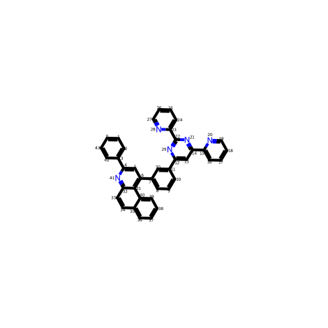 c1ccc(-c2cc(-c3cccc(-c4cc(-c5ccccn5)nc(-c5ccccn5)n4)c3)c3c(ccc4ccccc43)n2)cc1